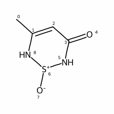 CC1=CC(=O)N[S+]([O-])N1